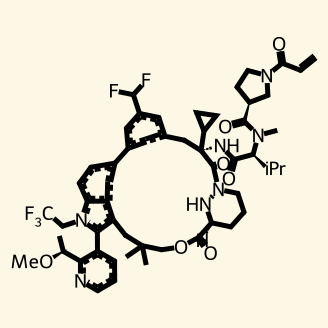 C=CC(=O)N1CC[C@H](C(=O)N(C)[C@H](C(=O)N[C@@]2(C3CC3)Cc3cc(cc(C(F)F)c3)-c3ccc4c(c3)c(c(-c3cccnc3[C@H](C)OC)n4CC(F)(F)F)CC(C)(C)COC(=O)[C@@H]3CCCN(N3)C2=O)C(C)C)C1